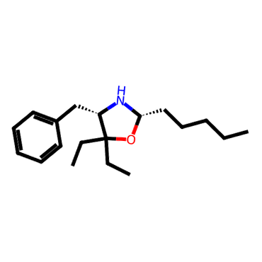 CCCCC[C@H]1N[C@@H](Cc2ccccc2)C(CC)(CC)O1